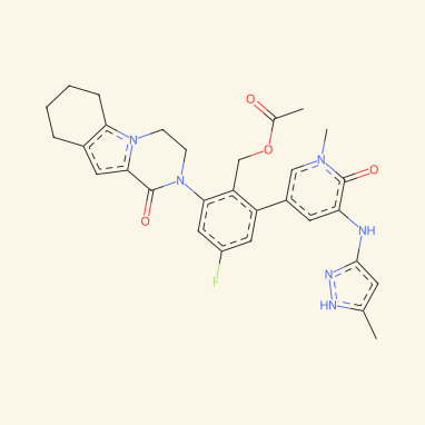 CC(=O)OCc1c(-c2cc(Nc3cc(C)[nH]n3)c(=O)n(C)c2)cc(F)cc1N1CCn2c(cc3c2CCCC3)C1=O